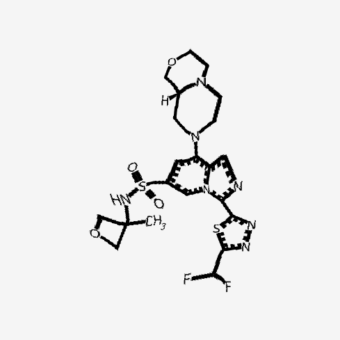 CC1(NS(=O)(=O)c2cc(N3CCN4CCOC[C@H]4C3)c3cnc(-c4nnc(C(F)F)s4)n3c2)COC1